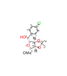 CO[C@@H]1O[C@H](C(O)c2ccc(Cl)cc2)[C@H]2OC(C)(C)O[C@@H]12